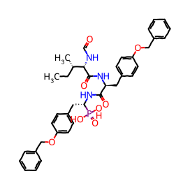 CC[C@H](C)[C@H](NC=O)C(=O)N[C@@H](Cc1ccc(OCc2ccccc2)cc1)C(=O)N[C@@H](Cc1ccc(OCc2ccccc2)cc1)P(=O)(O)O